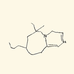 CCC1CCC2=CN=CCN2C(C)(C)C1